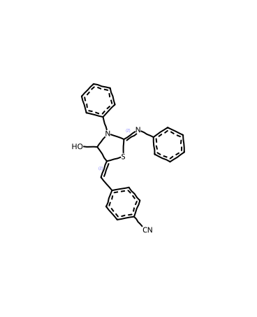 N#Cc1ccc(/C=C2\S/C(=N\c3ccccc3)N(c3ccccc3)C2O)cc1